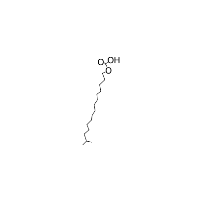 CC(C)CCCCCCCCCCCCCOC(=O)O